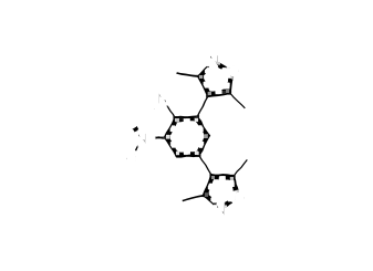 Cc1noc(C)c1-c1cc(-c2c(C)noc2C)c(N)c([N+](=O)[O-])c1